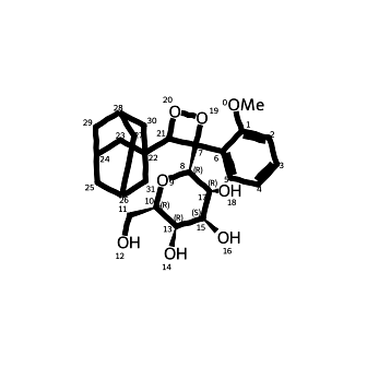 COc1ccccc1C1([C@@H]2O[C@H](CO)[C@H](O)[C@H](O)[C@H]2O)OOC1C12CC3CC(CC(C3)C1)C2